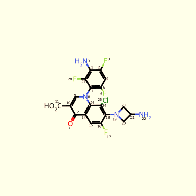 Nc1c(F)cc(F)c(-n2cc(C(=O)O)c(=O)c3cc(F)c(N4CC(N)C4)c(Cl)c32)c1F